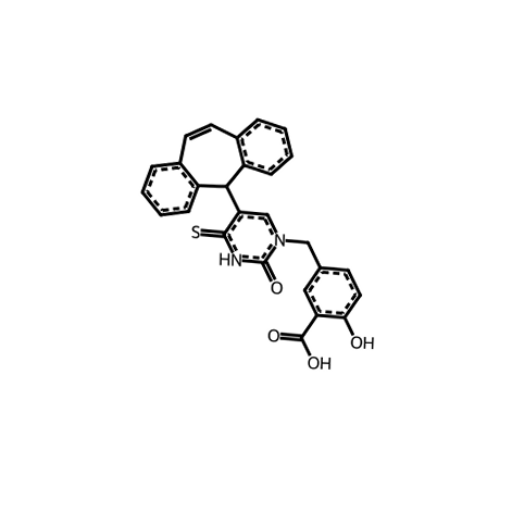 O=C(O)c1cc(Cn2cc(C3c4ccccc4C=Cc4ccccc43)c(=S)[nH]c2=O)ccc1O